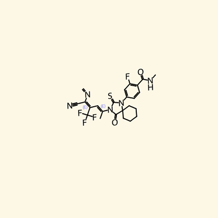 C=N/C(C#N)=C(\C=C(/C)N1C(=O)C2(CCCCC2)N(c2ccc(C(=O)NC)c(F)c2)C1=S)C(F)(F)F